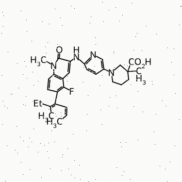 C/C=C\C(=C(/C)CC)c1ccc2c(cc(Nc3ccc(N4CCCC(C)(C(=O)O)C4)cn3)c(=O)n2C)c1F